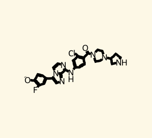 COc1ccc(-c2cnc3c(Nc4ccc(C(=O)N5CCN(C6CCNC6)CC5)c(Cl)c4)nccn23)cc1F